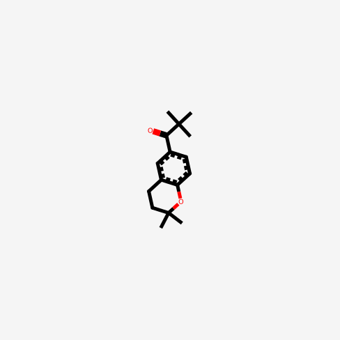 CC1(C)CCc2cc(C(=O)C(C)(C)C)ccc2O1